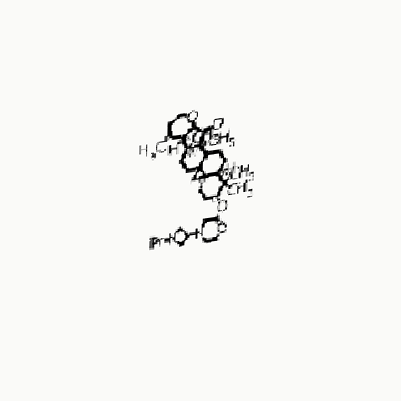 CC(C)N1CC(N2CCO[C@@H](O[C@H]3CC[C@]45CC46CC[C@]4(C)[C@@H]7C(OCC[C@H]7C)C(=O)[C@@]4(C)C6CC[C@H]5C3(C)C)C2)C1